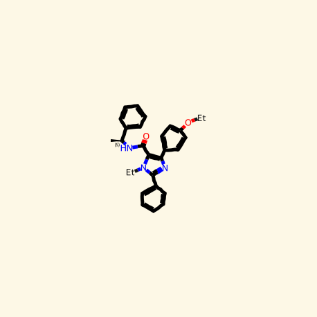 CCOc1ccc(-c2nc(-c3ccccc3)n(CC)c2C(=O)N[C@@H](C)c2ccccc2)cc1